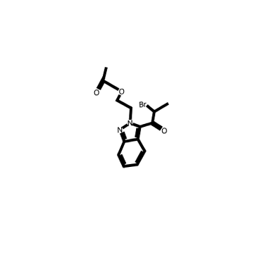 CC(=O)OCCn1nc2ccccc2c1C(=O)C(C)Br